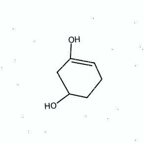 OC1=CCCC(O)C1